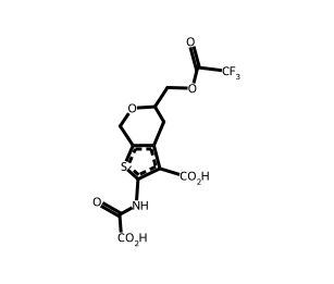 O=C(O)C(=O)Nc1sc2c(c1C(=O)O)CC(COC(=O)C(F)(F)F)OC2